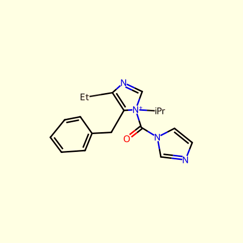 CCC1=C(Cc2ccccc2)[N+](C(=O)n2ccnc2)(C(C)C)C=N1